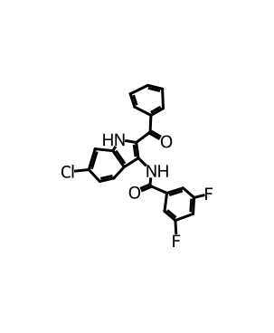 O=C(Nc1c(C(=O)c2ccccc2)[nH]c2cc(Cl)ccc12)c1cc(F)cc(F)c1